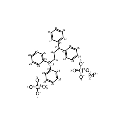 [O-][Cl+3]([O-])([O-])[O-].[O-][Cl+3]([O-])([O-])[O-].[Pd+2].c1ccc(P(CCP(c2ccccc2)c2ccccc2)c2ccccc2)cc1